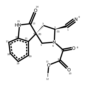 N#C[C@@H]1C[C@@]2(CN1C(=O)C(=O)OI)C(=O)Nc1ccccc12